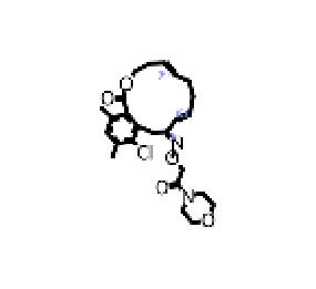 Cc1cc(C)c2c(c1Cl)CC(=N\OCC(=O)N1CCOCC1)/C=C/CC/C=C/CCOC2=O